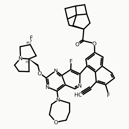 C#Cc1c(F)ccc2cc(OC(=O)C34CC5CC6CC(C3)C65C4)cc(-c3ncc4c(N5CCCOCC5)nc(OC[C@@]56CCCN5C[C@H](F)C6)nc4c3F)c12